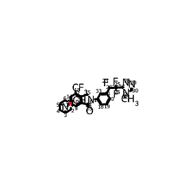 CN1CC2CC(C1)N2c1cc2c(c(C(F)(F)F)c1)CN(c1cccc(C(F)C(F)(F)c3nncn3C)c1)C2=O